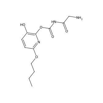 CCCCOc1ccc(O)c(OC(=O)NC(=O)CN)n1